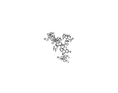 CC(C)(CNC(=O)N(c1nn(CC(F)(F)F)c2c(-c3ccc(C#CC(C)(C)S(C)(=O)=O)nc3C(Cc3cc(F)cc(F)c3)NC(=O)Cn3nc(C(F)(F)F)c4c3C(F)(F)[C@@H]3C[C@H]43)ccc(Cl)c12)S(C)(=O)=O)OP(=O)(O)O